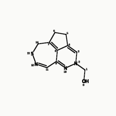 OCN1C=C2CCC3=C2C(=N1)C=NSC3